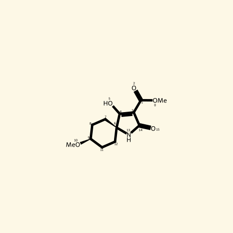 COC(=O)C1=C(O)[C@]2(CC[C@H](OC)CC2)NC1=O